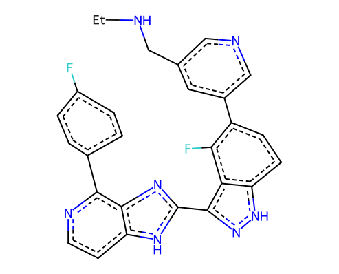 CCNCc1cncc(-c2ccc3[nH]nc(-c4nc5c(-c6ccc(F)cc6)nccc5[nH]4)c3c2F)c1